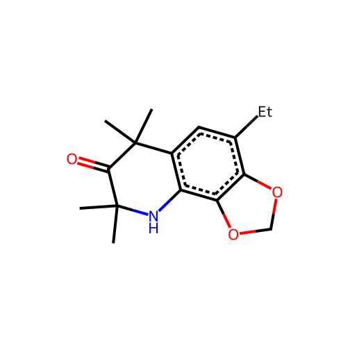 CCc1cc2c(c3c1OCO3)NC(C)(C)C(=O)C2(C)C